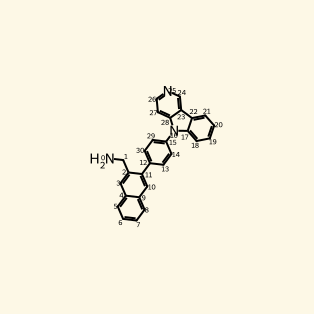 NCc1cc2ccccc2cc1-c1ccc(-n2c3ccccc3c3cnccc32)cc1